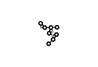 c1ccc(-c2ccc3c4ccccc4n(-c4cccc5c4sc4c(-c6ccccc6)ccc(-c6ccc7sc8ccccc8c7c6)c45)c3c2)cc1